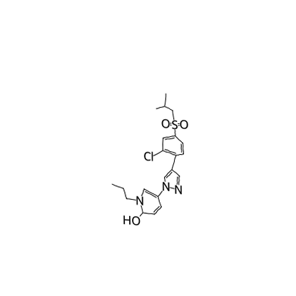 CCCN1C=C(n2cc(-c3ccc(S(=O)(=O)CC(C)C)cc3Cl)cn2)C=CC1O